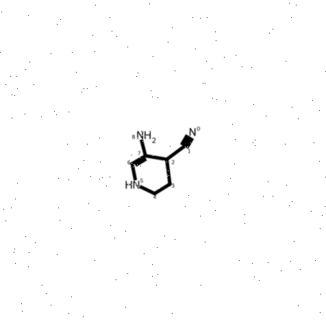 N#CC1CCNC=C1N